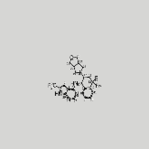 FC(F)(F)c1cc2c(NC3c4ccccc4C(F)(F)CC3N3CC4COCC4C3)ncnc2[nH]1